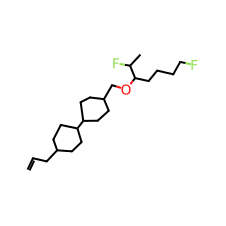 C=CCC1CCC(C2CCC(COC(CCCCF)C(C)F)CC2)CC1